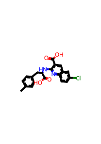 Cc1ccc(CC(Nc2nc3ccc(Cl)cc3cc2C(=O)O)C(=O)O)cc1